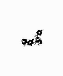 Cc1ccc(Nc2nc(Oc3c(C)cc(-c4ccncc4F)cc3C)c3c(ccn3C)n2)cc1